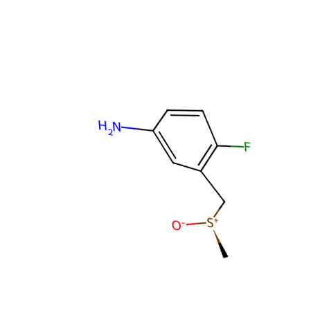 C[S@@+]([O-])Cc1cc(N)ccc1F